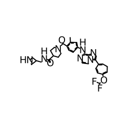 Cc1cc(Nc2nccn3c(C4=CCC=C(OC(F)F)C=C4)cnc23)ccc1C(=O)N1CCC(C(=O)NCC2CNC2)CC1